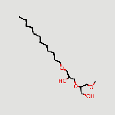 CCCCCCCCCCCCOCC(O)COC(CO)COC